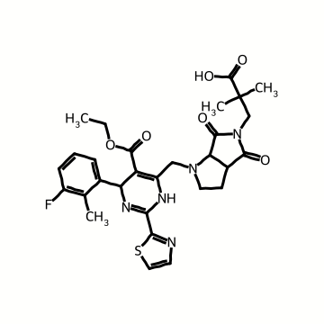 CCOC(=O)C1=C(CN2CCC3C(=O)N(CC(C)(C)C(=O)O)C(=O)C32)NC(c2nccs2)=NC1c1cccc(F)c1C